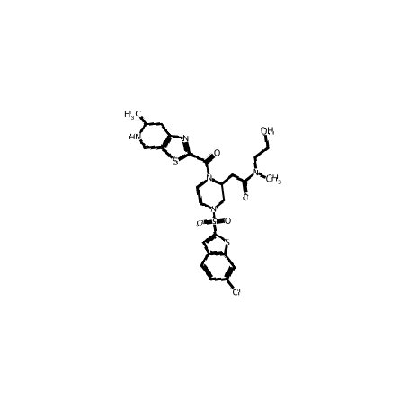 CC1Cc2nc(C(=O)N3CCN(S(=O)(=O)c4cc5ccc(Cl)cc5s4)CC3CC(=O)N(C)CCO)sc2CN1